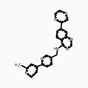 Cc1cc(-c2ccc(CNc3ncnc4cc(-c5cnccn5)ccc34)cn2)ccn1